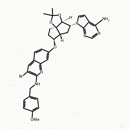 COc1ccc(CNc2nc3cc(O[C@H]4CC[C@]56OC(C)(C)O[C@H]5[C@H](n5ccc7c(N)ncnc75)C[C@H]46)ccc3cc2Br)cc1